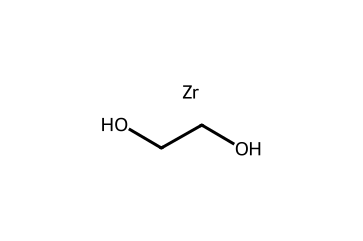 OCCO.[Zr]